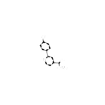 COC(=O)c1ccnc(-c2ccc(C(F)(F)F)cc2)c1